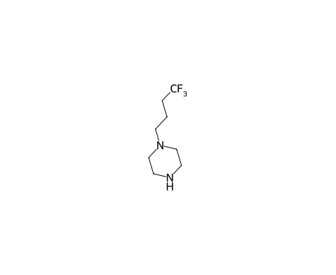 FC(F)(F)CCCN1CCNCC1